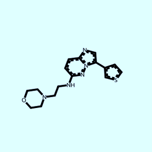 c1cc(-c2cnc3ccc(NCCN4CCOCC4)nn23)cs1